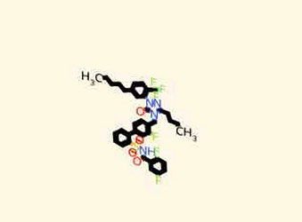 CCCCCc1ccc(C(F)(F)F)c(-n2nc(CCCC)n(Cc3ccc(-c4ccccc4S(=O)(=O)NC(=O)c4cc(F)ccc4F)cc3F)c2=O)c1